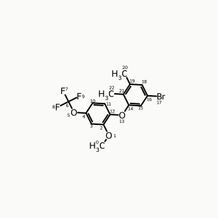 COc1cc(OC(F)(F)F)ccc1Oc1cc(Br)cc(C)c1C